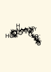 CC(C)C[C@@H](/C=C/CC(=O)NC1CC(C)(C)N(O)C(C)(C)C1)NC(=O)OCC[S+]([O-])CC1(C)COC1